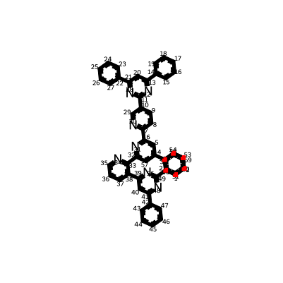 c1ccc(-c2cc(-c3ccc(-c4nc(-c5ccccc5)cc(-c5ccccc5)n4)cn3)nc(-c3ncccc3-c3cc(-c4ccccc4)nc(-c4ccccc4)n3)c2)cc1